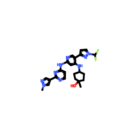 Cn1cc(-c2nccc(Nc3cc(NC4CCC(C)(O)CC4)c(-c4ccn(C(F)F)n4)cn3)n2)cn1